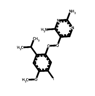 COc1cc(C(C)C)c(OOc2cnc(N)nc2N)cc1I